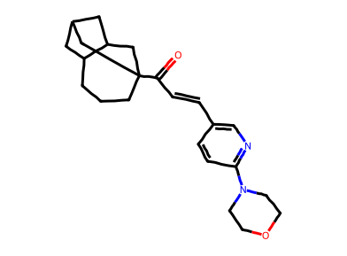 O=C(/C=C/c1ccc(N2CCOCC2)nc1)C12CCCC3CC(CC3C1)C2